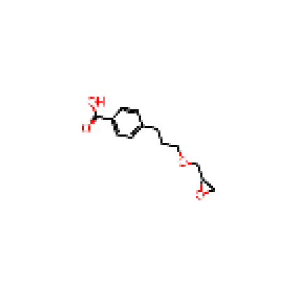 O=C(O)c1ccc(CCCOCC2CO2)cc1